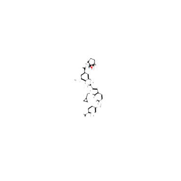 COC(=O)c1ccc(Nc2ccc3cc(-c4nc5cc(C(=O)N6C[C@H]7CC[C@@H]6[C@@H]7N)cc(OC)c5n4C)n(CC4CC4)c3n2)cn1